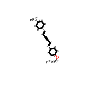 CCCCCO[C@H]1CC[C@H](C=CC#CC=C[C@H]2CC[C@H](CCCC)CC2)CC1